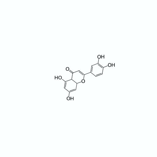 O=C1C=C(c2ccc(O)c(O)c2)OC2C=C(O)C=C(O)C12